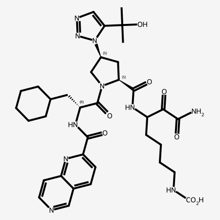 CC(C)(O)c1cnnn1[C@H]1C[C@@H](C(=O)NC(CCCCNC(=O)O)C(=O)C(N)=O)N(C(=O)[C@@H](CC2CCCCC2)NC(=O)c2ccc3cnccc3n2)C1